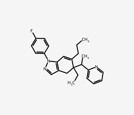 CCCC1=Cc2c(cnn2-c2ccc(F)cc2)CC1(CC)C(C)c1ccccn1